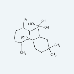 CC1CCC(C(C)C)C(P(O)(O)(O)C2CC(C)(C)CCC2C(C)C)C1